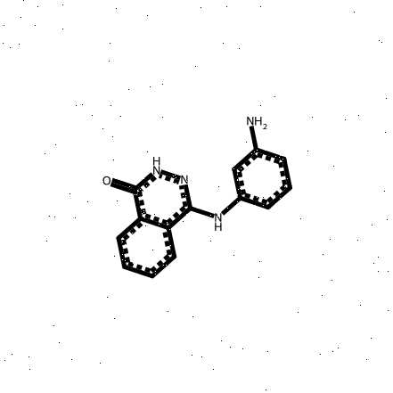 Nc1cccc(Nc2n[nH]c(=O)c3ccccc23)c1